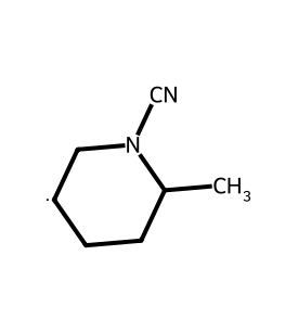 CC1CC[CH]CN1C#N